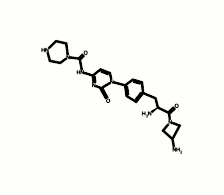 NC1CN(C(=O)[C@@H](N)Cc2ccc(-n3ccc(NC(=O)N4CCNCC4)nc3=O)cc2)C1